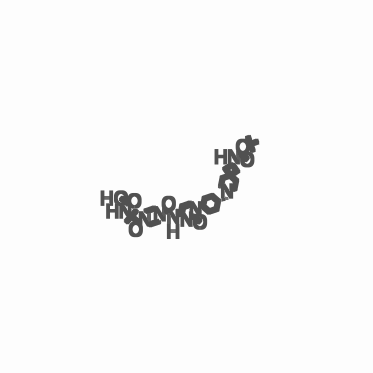 CC(C)(C)OC(=O)NC1CC2(CCN(C[C@H]3CC[C@H](n4ccc(NC(=O)N5CCN(C(=O)C(C)(C)NC(=O)O)CC5)nc4=O)CC3)CC2)C1